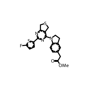 COC(=O)Cc1ccc2c(c1)CCN2c1nc(-c2ccc(F)s2)nc2c1CSC2